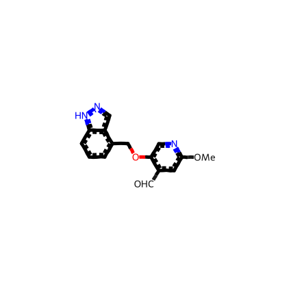 COc1cc(C=O)c(OCc2cccc3[nH]ncc23)cn1